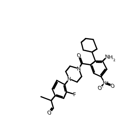 CC(C=O)c1ccc(N2CCN(C(=O)c3cc([N+](=O)[O-])cc(N)c3C3CCCCC3)CC2)c(F)c1